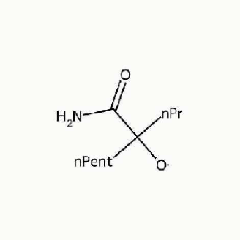 C[CH]CC([O])(CCCCC)C(N)=O